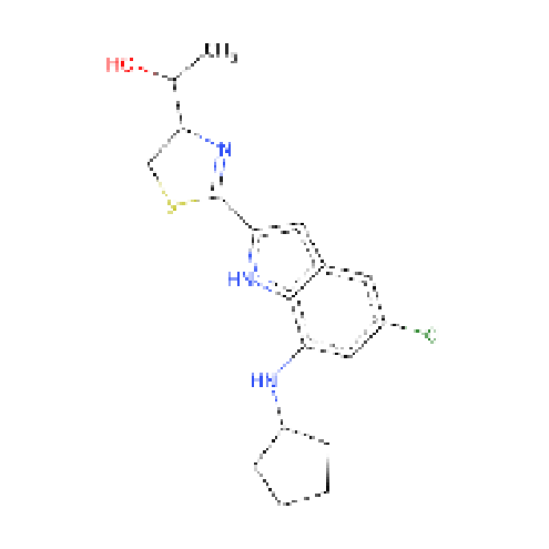 CC(O)C1CSC(c2cc3cc(Cl)cc(NC4CCCC4)c3[nH]2)=N1